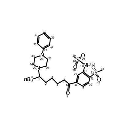 CCCCC(CCCCC(=O)c1ccc(S(C)(=O)=O)c(NS(C)(=O)=O)c1)N1CCN(c2ccccc2)CC1